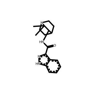 CC1(C)C(NC(=O)c2n[nH]c3ccccc23)C2CCN1CC2